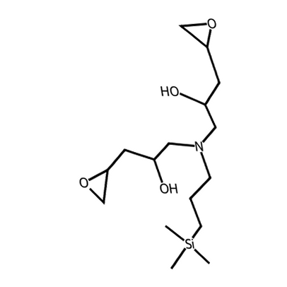 C[Si](C)(C)CCCN(CC(O)CC1CO1)CC(O)CC1CO1